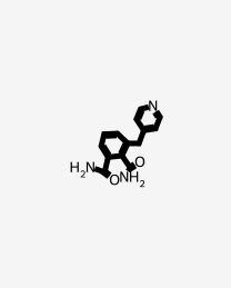 NC(=O)c1cccc(Cc2ccncc2)c1C(N)=O